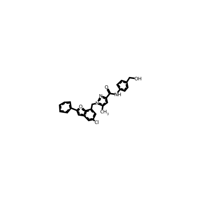 Cc1cc(C(=O)Nc2ccc(CO)cc2)nn1Cc1cc(Cl)cc2cc(-c3ccccc3)oc12